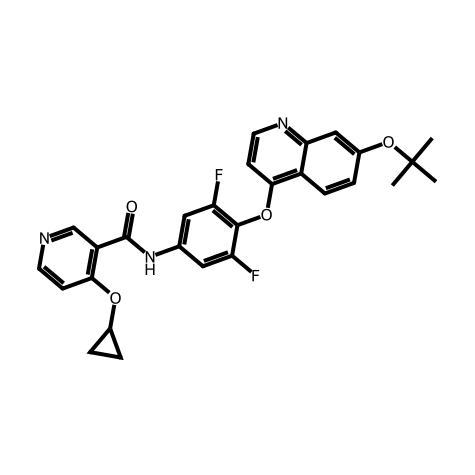 CC(C)(C)Oc1ccc2c(Oc3c(F)cc(NC(=O)c4cnccc4OC4CC4)cc3F)ccnc2c1